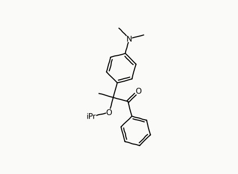 CC(C)OC(C)(C(=O)c1ccccc1)c1ccc(N(C)C)cc1